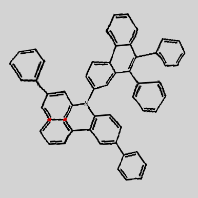 c1ccc(-c2cccc(N(c3ccc4c(c3)c(-c3ccccc3)c(-c3ccccc3)c3ccccc34)c3ccc(-c4ccccc4)cc3-c3ccccc3)c2)cc1